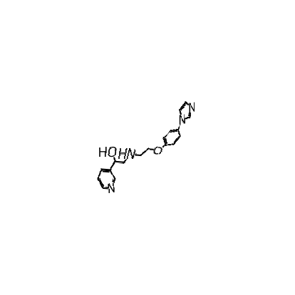 OC(CNCCOc1ccc(-n2ccnc2)cc1)c1cccnc1